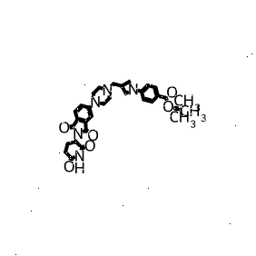 CC(C)(C)OC(=O)c1ccc(N2CC(CN3CCN(c4ccc5c(c4)C(=O)N(C4CCC(=O)NC4=O)C5=O)CC3)C2)cc1